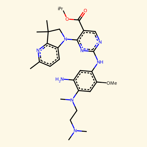 COc1cc(N(C)CCN(C)C)c(N)cc1Nc1ncc(C(=O)OC(C)C)c(N2CC(C)(C)c3nc(C)ccc32)n1